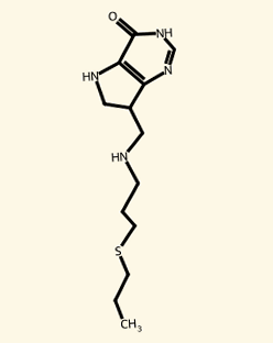 CCCSCCCNCC1CNc2c1nc[nH]c2=O